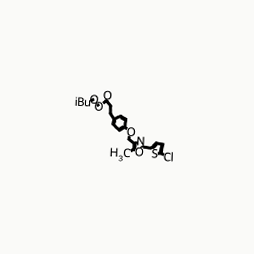 CCC(C)OOC(=O)CCc1ccc(OCc2nc(-c3ccc(Cl)s3)oc2C)cc1